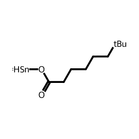 CC(C)(C)CCCCCC(=O)[O][SnH]